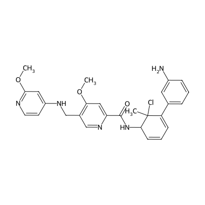 COc1cc(NCc2cnc(C(=O)NC3C=CC=C(c4cccc(N)c4)C3(C)Cl)cc2OC)ccn1